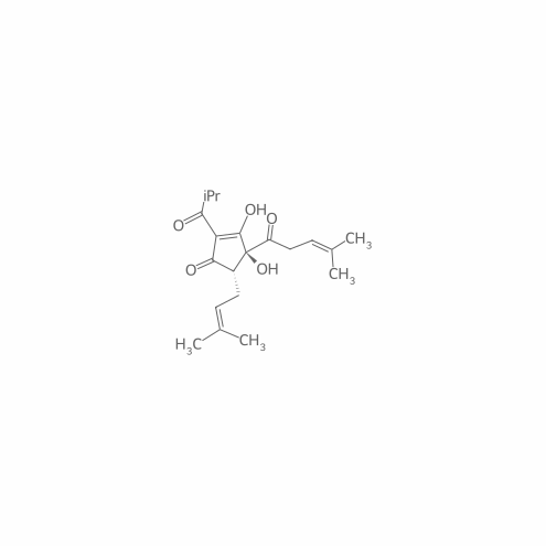 CC(C)=CCC(=O)[C@@]1(O)C(O)=C(C(=O)C(C)C)C(=O)[C@H]1CC=C(C)C